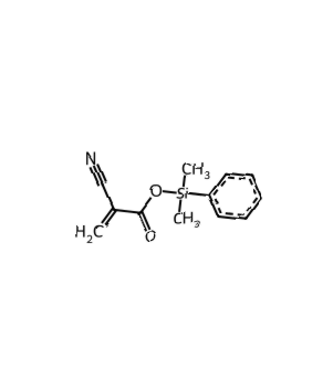 C=C(C#N)C(=O)O[Si](C)(C)c1ccccc1